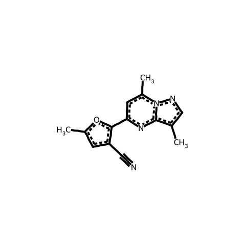 Cc1cc(C#N)c(-c2cc(C)n3ncc(C)c3n2)o1